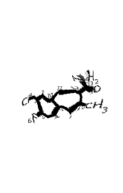 Cc1cc2cc(F)c(Cl)cc2cc1C(N)=O